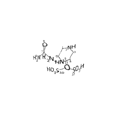 C1CNCCN1.NC(N)=O.O=S(=O)(O)OS(=O)(=O)O